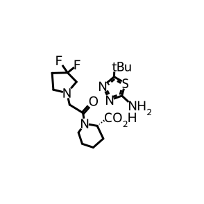 CC(C)(C)c1nnc(N)s1.O=C(O)[C@@H]1CCCCN1C(=O)CN1CCC(F)(F)C1